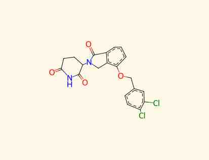 O=C1CCC(N2Cc3c(OCc4ccc(Cl)c(Cl)c4)cccc3C2=O)C(=O)N1